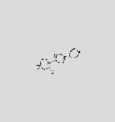 CC1(C)CCN(c2ccc(-c3ccccc3)cn2)C(=O)C1